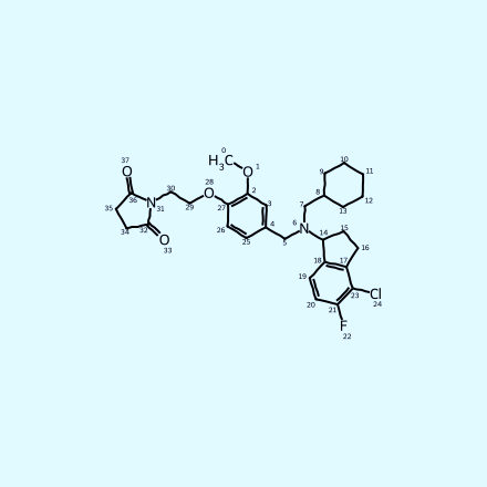 COc1cc(CN(CC2CCCCC2)C2CCc3c2ccc(F)c3Cl)ccc1OCCN1C(=O)CCC1=O